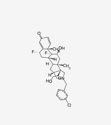 C[C@]12C=CC(=O)C=C1[C@@H](F)C[C@H]1[C@@H]3C[C@H]4CN(Cc5cccc(Cl)c5)C[C@@]4(C(=O)CO)[C@@]3(C)C[C@H](O)[C@@]12F